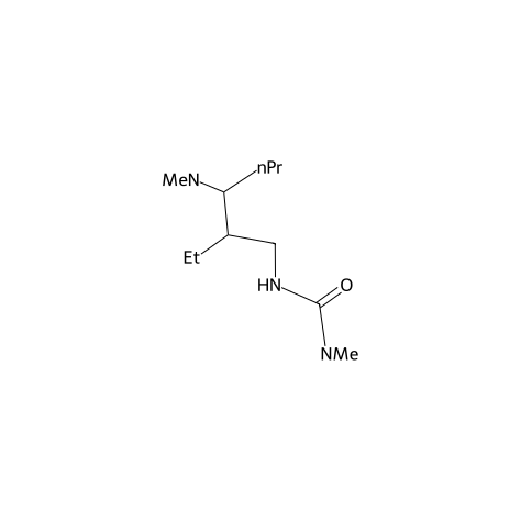 CCCC(NC)C(CC)CNC(=O)NC